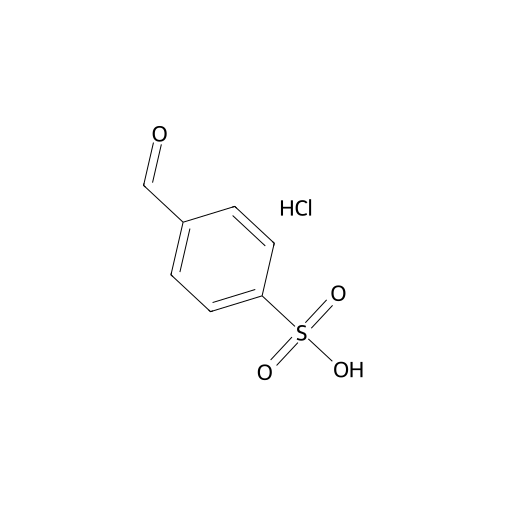 Cl.O=Cc1ccc(S(=O)(=O)O)cc1